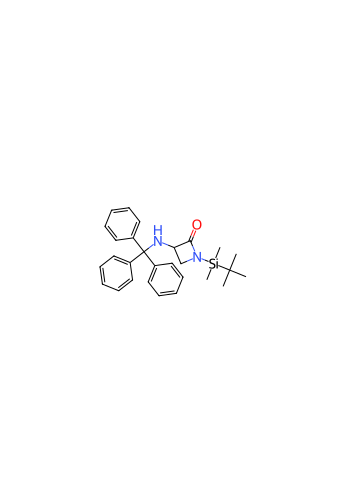 CC(C)(C)[Si](C)(C)N1CC(NC(c2ccccc2)(c2ccccc2)c2ccccc2)C1=O